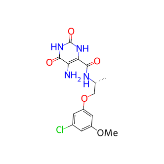 COc1cc(Cl)cc(OC[C@@H](C)NC(=O)c2[nH]c(=O)[nH]c(=O)c2N)c1